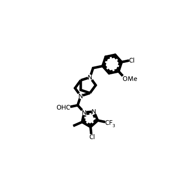 COc1cc(CN2CC3CC2CN3C(C=O)n2nc(C(F)(F)F)c(Cl)c2C)ccc1Cl